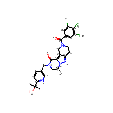 C[C@@H]1CN(Cc2ccc(C(C)(C)O)nc2)C(=O)c2c3c(nn21)CCN(C(=O)c1cc(F)c(Cl)c(F)c1)C3